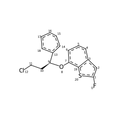 Fc1cc2cccc(O[C@@H](CCCl)c3ccccc3)c2s1